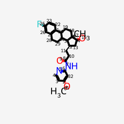 COc1ccnc(NC(=O)CC[C@@H]2CC(=O)[C@@]3(C)CCC4c5ccc(F)cc5CCC4C23)c1